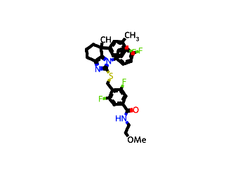 COCCNC(=O)c1cc(F)c(CSc2nc3c(n2-c2ccc(F)cc2)C(C)(c2ccc(F)c(C)c2)CCC3)c(F)c1